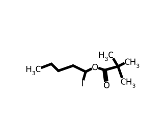 CCCCC(I)OC(=O)C(C)(C)C